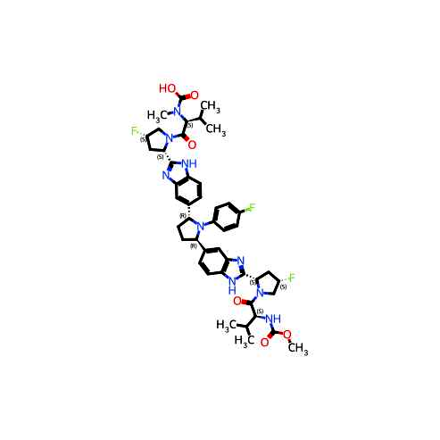 COC(=O)N[C@H](C(=O)N1C[C@@H](F)C[C@H]1c1nc2cc([C@H]3CC[C@H](c4ccc5[nH]c([C@@H]6C[C@H](F)CN6C(=O)[C@H](C(C)C)N(C)C(=O)O)nc5c4)N3c3ccc(F)cc3)ccc2[nH]1)C(C)C